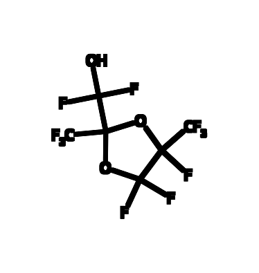 OC(F)(F)C1(C(F)(F)F)OC(F)(F)C(F)(C(F)(F)F)O1